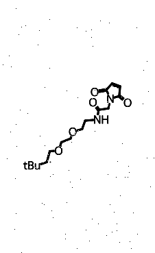 CC(C)(C)[CH]COCCOCCNC(=O)CN1C(=O)C=CC1=O